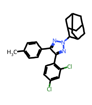 Cc1ccc(-c2nn(C3C4CC5CC(C4)CC3C5)nc2-c2ccc(Cl)cc2Cl)cc1